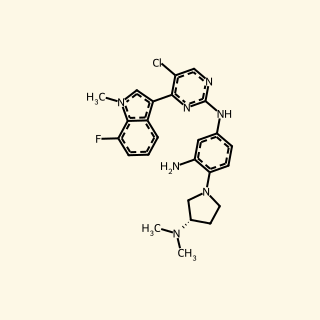 CN(C)[C@H]1CCN(c2ccc(Nc3ncc(Cl)c(-c4cn(C)c5c(F)cccc45)n3)cc2N)C1